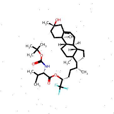 CC(C)[C@H](NC(=O)OC(C)(C)C)C(=O)O[C@H](CC[C@@H](C)[C@H]1CC[C@H]2[C@@H]3CC=C4C[C@@](C)(O)CC[C@]4(C)[C@H]3CC[C@]12C)C(F)(F)F